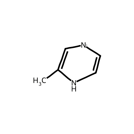 CC1=C[N]C=CN1